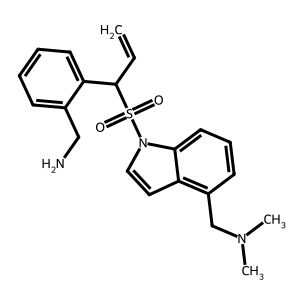 C=CC(c1ccccc1CN)S(=O)(=O)n1ccc2c(CN(C)C)cccc21